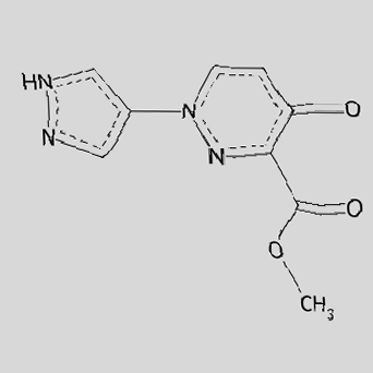 COC(=O)c1nn(-c2cn[nH]c2)ccc1=O